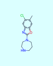 Cc1cc2oc(N3CCCNCC3)nc2cc1Cl